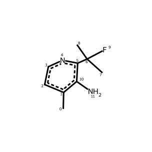 Cc1ccnc(C(C)(C)F)c1N